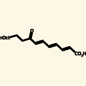 CCCCCCCCCCC(=O)C=CC=CC=CC(=O)O